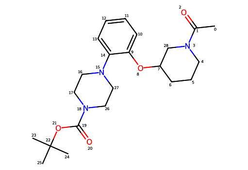 CC(=O)N1CCCC(Oc2ccccc2N2CCN(C(=O)OC(C)(C)C)CC2)C1